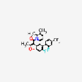 C=C1C(C)=CC=CN1C(=O)/C(=C(\C)O)c1ccc(F)c(-c2ccc(C(F)(F)F)cc2F)c1